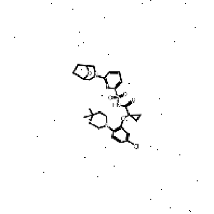 CC1(C)CCN(c2ccc(Cl)cc2OC2(C(=O)NS(=O)(=O)c3cccc(N4CC5CCC(C4)O5)n3)CC2)CC1